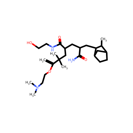 C=C(OCCN(C)C)C(C)(C)CC(CC(CC1C2CCC(C2)C1C)C(N)=O)C(=O)NCCO